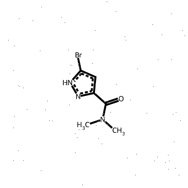 CN(C)C(=O)c1cc(Br)[nH]n1